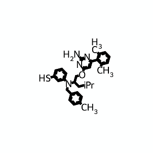 Cc1ccc(CN(c2cccc(S)c2)C(COc2cc(-c3c(C)cccc3C)nc(N)n2)CC(C)C)cc1